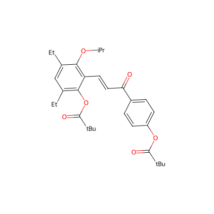 CCc1cc(CC)c(OC(C)C)c(C=CC(=O)c2ccc(OC(=O)C(C)(C)C)cc2)c1OC(=O)C(C)(C)C